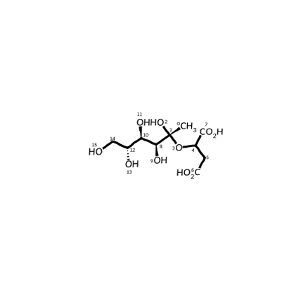 C[C@@](O)(OC(CC(=O)O)C(=O)O)[C@@H](O)[C@H](O)[C@H](O)CO